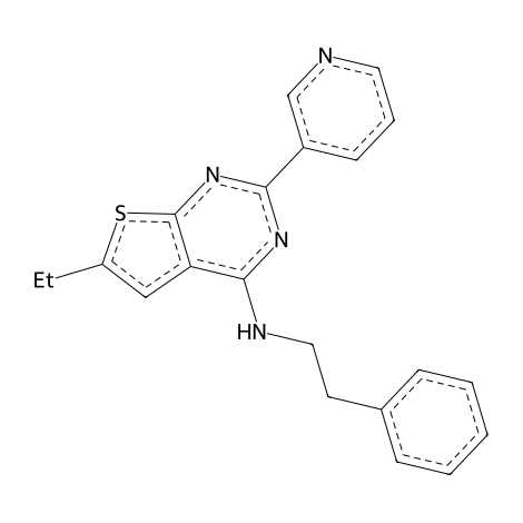 CCc1cc2c(NCCc3ccccc3)nc(-c3cccnc3)nc2s1